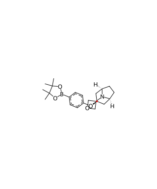 CC1(C)OB(c2ccc(O[C@H]3C[C@H]4CC[C@@H](C3)N4C3COC3)cc2)OC1(C)C